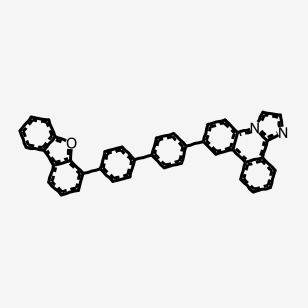 c1ccc2c(c1)oc1c(-c3ccc(-c4ccc(-c5ccc6c(c5)c5ccccc5c5nccn65)cc4)cc3)cccc12